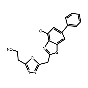 N#CCCc1nnc(Cc2nc3c(Cl)cc(-c4ccccc4)cc3s2)o1